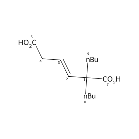 CCCCC(C=CCC(=O)O)(CCCC)C(=O)O